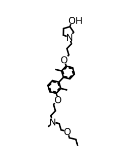 CCCOCCN(C)CCCOc1cccc(-c2cccc(OCCCN3CCC(O)C3)c2C)c1C